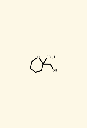 O=C(O)C1(CO)CCCCO1